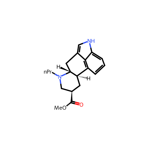 CCCN1C[C@H](C(=O)OC)C[C@@H]2c3cccc4[nH]cc(c34)C[C@H]21